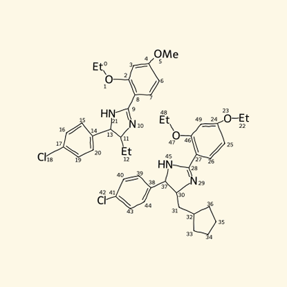 CCOc1cc(OC)ccc1C1=NC(CC)C(c2ccc(Cl)cc2)N1.CCOc1ccc(C2=NC(CC3CCCC3)C(c3ccc(Cl)cc3)N2)c(OCC)c1